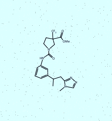 COC(=O)C1(C(F)(F)F)CCN(C(=O)Nc2cccc(C(C)Cc3nncn3C)c2)C1